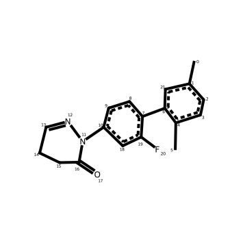 Cc1ccc(C)c(-c2ccc(N3N=CCCC3=O)cc2F)c1